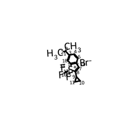 CC(C)c1ccc2cc(C3CC3)[s+](C(F)(F)F)c2c1.[Br-]